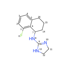 Fc1cccc2c1C(NC1=NCCN1)CCC2